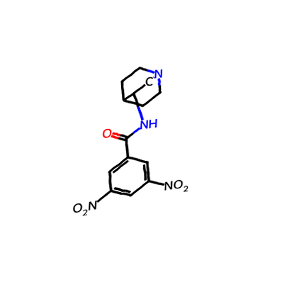 O=C(NC1CN2CCC1CC2)c1cc([N+](=O)[O-])cc([N+](=O)[O-])c1